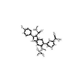 CNC(=O)c1c(-c2ccc(F)cc2)oc2cc(N(C)S(C)(=O)=O)c(-c3cncc(C(=O)O)n3)cc12